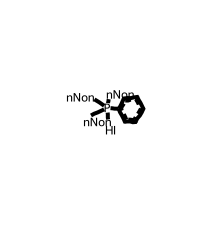 CCCCCCCCCP(C)(CCCCCCCCC)(CCCCCCCCC)c1ccccc1.I